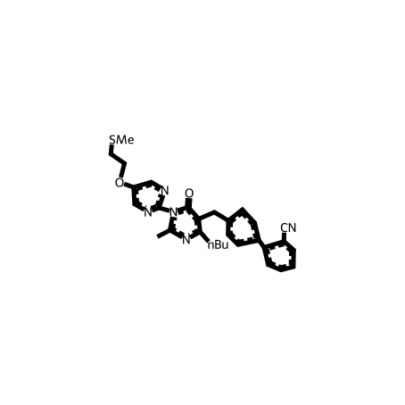 CCCCc1nc(C)n(-c2ncc(OCCSC)cn2)c(=O)c1Cc1ccc(-c2ccccc2C#N)cc1